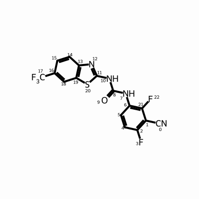 N#Cc1c(F)ccc(NC(=O)Nc2nc3ccc(C(F)(F)F)cc3s2)c1F